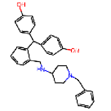 Oc1ccc(C(c2ccc(O)cc2)c2ccccc2CNC2CCN(Cc3ccccc3)CC2)cc1